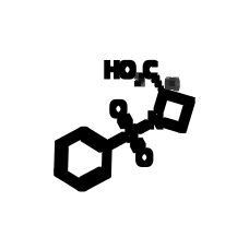 O=C(O)[C@@H]1CCN1S(=O)(=O)c1ccccc1